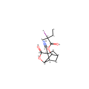 CCC(C)(I)C(=O)OC1C2CC3C1OC(=O)C3(C#N)C2